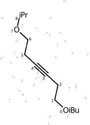 CC(C)COCCC#CCCOC(C)C